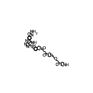 N=C(c1ccc2oc(N)nc2c1)c1c(N)ncnc1NCc1ccc2c(c1)CCN(C(=O)CCC(=O)N1CCN(CCOCCC(=O)N3CCNCC3)CC1)C2